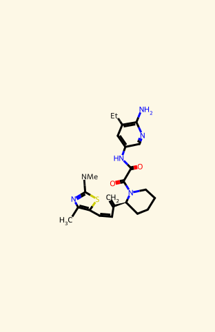 C=C(/C=C\c1sc(NC)nc1C)[C@@H]1CCCCN1C(=O)C(=O)Nc1cnc(N)c(CC)c1